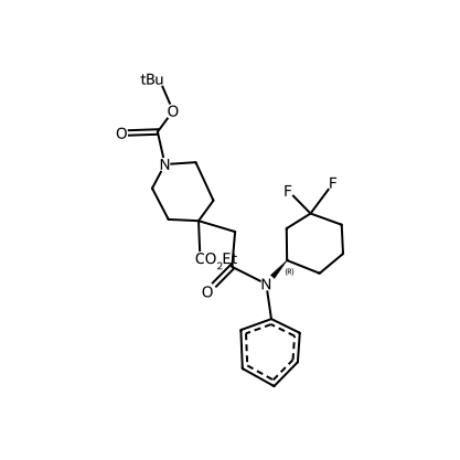 CCOC(=O)C1(CC(=O)N(c2ccccc2)[C@@H]2CCCC(F)(F)C2)CCN(C(=O)OC(C)(C)C)CC1